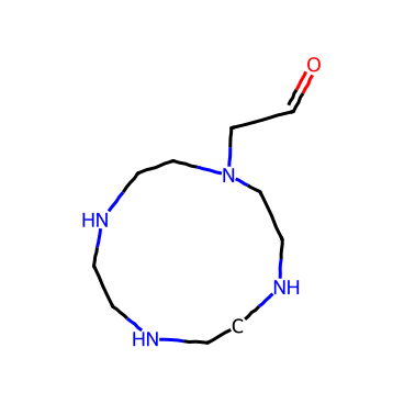 O=CCN1CCNCCNCCNCC1